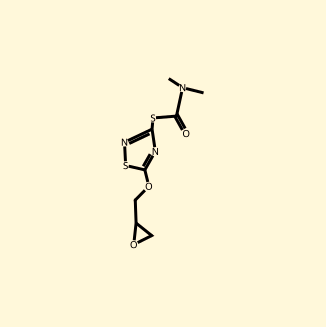 CN(C)C(=O)Sc1nsc(OCC2CO2)n1